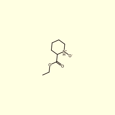 CCOC(=O)C1CCCC[NH+]1[O-]